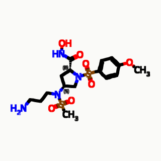 COc1ccc(S(=O)(=O)N2C[C@@H](N(CCCN)S(C)(=O)=O)C[C@@H]2C(=O)NO)cc1